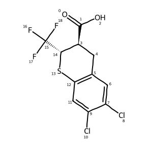 O=C(O)[C@H]1Cc2cc(Cl)c(Cl)cc2S[C@@H]1C(F)(F)F